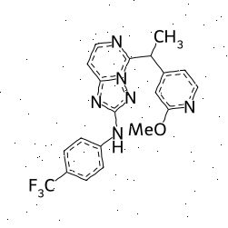 COc1cc(C(C)c2nccc3nc(Nc4ccc(C(F)(F)F)cc4)nn23)ccn1